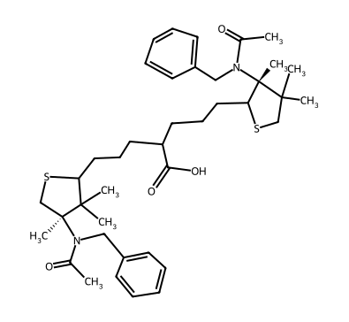 CC(=O)N(Cc1ccccc1)[C@@]1(C)CSC(CCCC(CCCC2SCC(C)(C)[C@@]2(C)N(Cc2ccccc2)C(C)=O)C(=O)O)C1(C)C